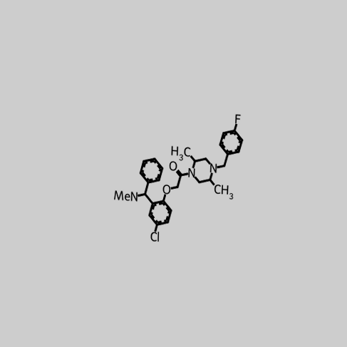 CNC(c1ccccc1)c1cc(Cl)ccc1OCC(=O)N1CC(C)N(Cc2ccc(F)cc2)CC1C